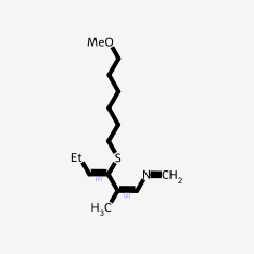 C=N/C=C(C)\C(=C\CC)SCCCCCCOC